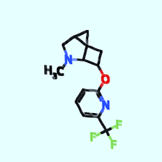 CN1CC2CC23CC(Oc2cccc(C(F)(F)F)n2)C13